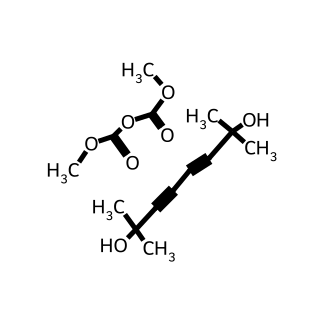 CC(C)(O)C#CC#CC(C)(C)O.COC(=O)OC(=O)OC